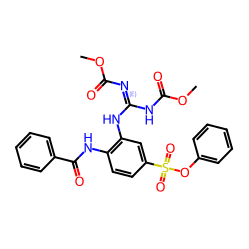 COC(=O)/N=C(/NC(=O)OC)Nc1cc(S(=O)(=O)Oc2ccccc2)ccc1NC(=O)c1ccccc1